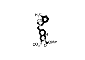 COC(=O)N1C[C@@H]2CCC(CN(CC#N)Cc3cccc(C)c3)CC2CC1C(=O)O